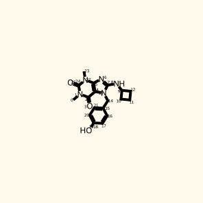 Cn1c(=O)c2c(nc(NC3CCC3)n2Cc2ccc(O)cc2)n(C)c1=O